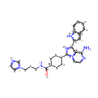 Nc1nccn2c(C3CCC(C(=O)NCCCn4ccnc4)CC3)nc(-c3cc4ccccc4[nH]3)c12